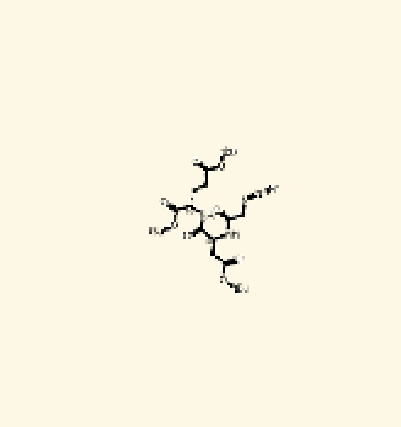 CC(C)(C)OC(=O)CC[C@H](NC(=O)[C@H](CC(=O)OC(C)(C)C)NC(=O)CN=[N+]=[N-])C(=O)OC(C)(C)C